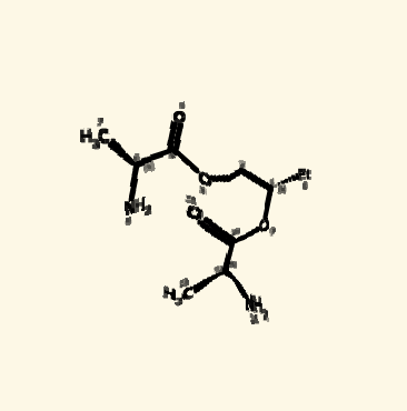 CC[C@@H](COC(=O)[C@H](C)N)OC(=O)[C@H](C)N